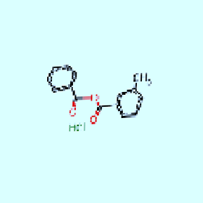 Cc1cccc(C(=O)OC(=O)c2ccccc2)c1.Cl